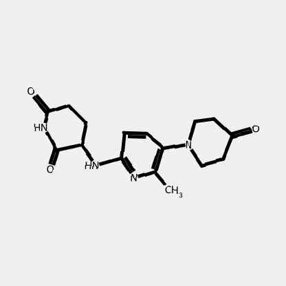 Cc1nc(NC2CCC(=O)NC2=O)ccc1N1CCC(=O)CC1